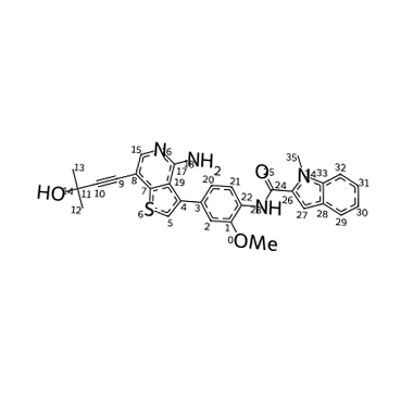 COc1cc(-c2csc3c(C#CC(C)(C)O)cnc(N)c23)ccc1NC(=O)c1cc2ccccc2n1C